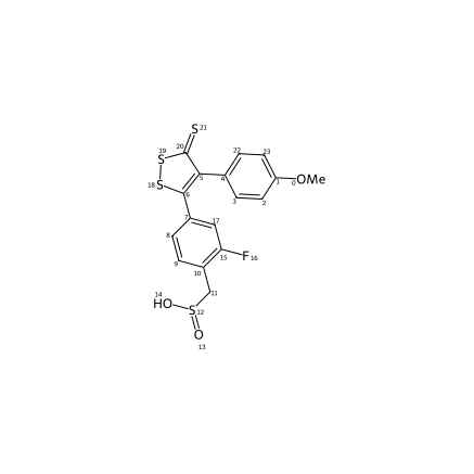 COc1ccc(-c2c(-c3ccc(CS(=O)O)c(F)c3)ssc2=S)cc1